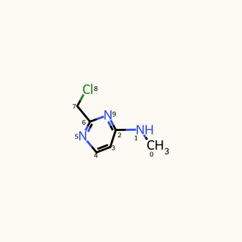 CNc1ccnc(CCl)n1